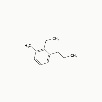 CCCc1cccc(C)c1CC